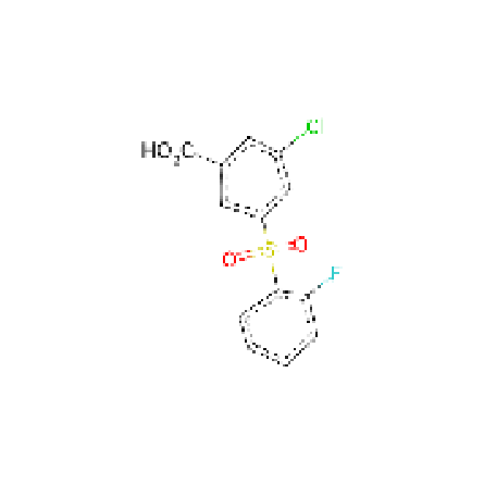 O=C(O)c1cc(Cl)cc(S(=O)(=O)c2ccccc2F)c1